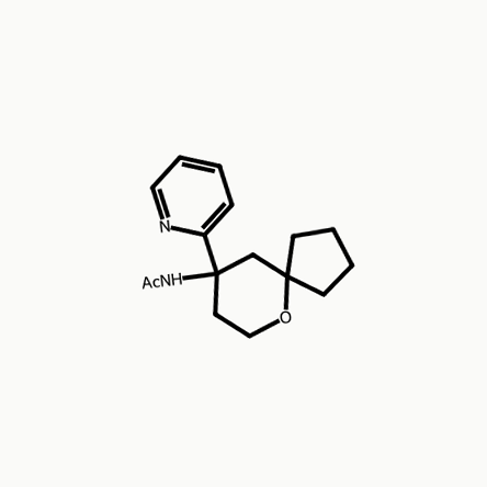 CC(=O)NC1(c2ccccn2)CCOC2(CCCC2)C1